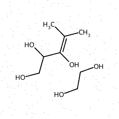 CC(C)=C(O)C(O)CO.OCCO